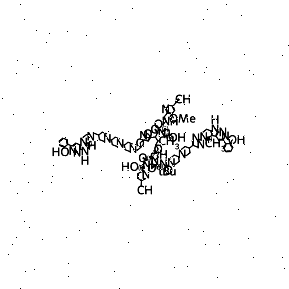 C#Cc1ccc([C@H](CO)NC(=O)[C@@H]2C[C@@H](OCC(C)C(C(=O)N3C[C@H](O)C[C@H]3C(=O)NCc3ncc(C#C)cc3OC)c3cc(OCCN4CCC(N5CCC(N6CCC(CN7CCN8c9cc(-c%10ccccc%10O)nnc9NC[C@H]8C7)CC6)CC5)CC4)no3)CN2C(=O)[C@@H](NC(=O)N2CCC(N3CCC(c4cnc(N5CCc6[nH]c7nnc(-c8ccccc8O)cc7c6[C@H]5C)nc4)CC3)CC2)C(C)(C)C)nc1